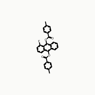 Cc1ccc(C(=O)Oc2c3ccccc3c(OC(=O)c3ccc(C)cc3)c3c(F)cccc23)cc1